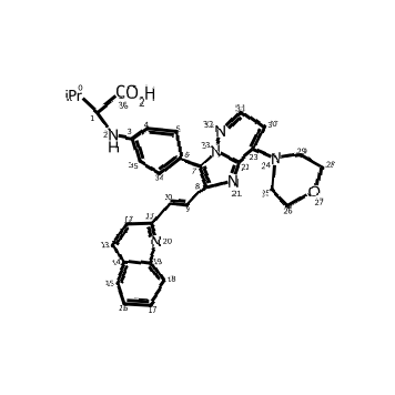 CC(C)C(Nc1ccc(-c2c(C=Cc3ccc4ccccc4n3)nc3c(N4CCOCC4)ccnn23)cc1)C(=O)O